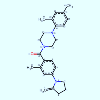 C=C1CCCN1c1ccc(C(=O)N2CCN(c3ccc(C)cc3C)CC2)c(C)c1